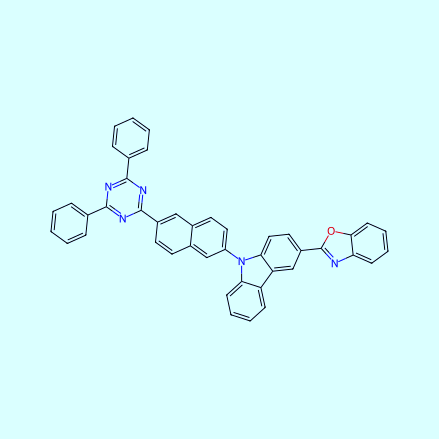 c1ccc(-c2nc(-c3ccccc3)nc(-c3ccc4cc(-n5c6ccccc6c6cc(-c7nc8ccccc8o7)ccc65)ccc4c3)n2)cc1